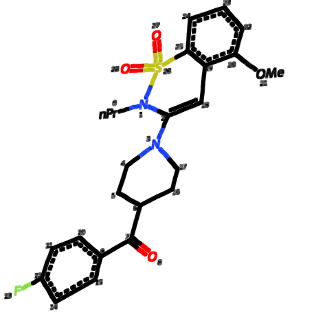 CCCN1C(N2CCC(C(=O)c3ccc(F)cc3)CC2)=Cc2c(OC)cccc2S1(=O)=O